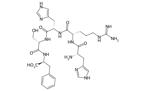 N=C(N)NCCC[C@H](NC(=O)[C@@H](N)Cc1c[nH]cn1)C(=O)N[C@@H](Cc1c[nH]cn1)C(=O)N[C@@H](CO)C(=O)N[C@@H](Cc1ccccc1)C(=O)O